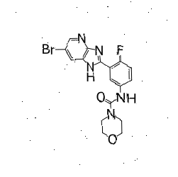 O=C(Nc1ccc(F)c(-c2nc3ncc(Br)cc3[nH]2)c1)N1CCOCC1